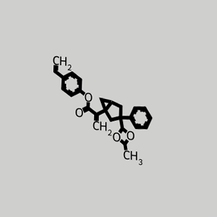 C=Cc1ccc(OC(=O)C(=C)C23CC2CC(c2ccccc2)(C2OC(C)O2)C3)cc1